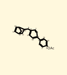 CC(=O)Oc1ccc(-c2ccc(CC3CC4C=CC3C4)cc2)cc1